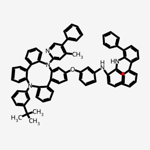 Cc1cc(N2c3ccccc3-c3ccccc3N(c3cccc(C(C)(C)C)c3)c3ccccc3-c3ccc(Oc4cccc(Nc5ccccc5Nc5c(-c6ccccc6)cccc5-c5ccccc5)c4)cc32)ncc1-c1ccccc1